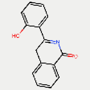 O=C1N=C(c2ccccc2O)Cc2ccccc21